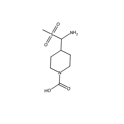 CS(=O)(=O)C(N)C1CCN(C(=O)O)CC1